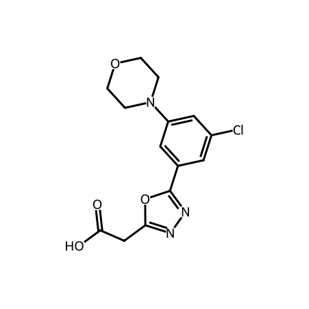 O=C(O)Cc1nnc(-c2cc(Cl)cc(N3CCOCC3)c2)o1